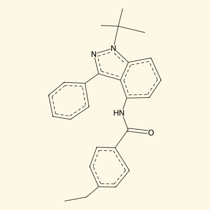 CCc1ccc(C(=O)Nc2cccc3c2c(-c2ccccc2)nn3C(C)(C)C)cc1